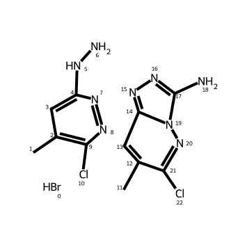 Br.Cc1cc(NN)nnc1Cl.Cc1cc2nnc(N)n2nc1Cl